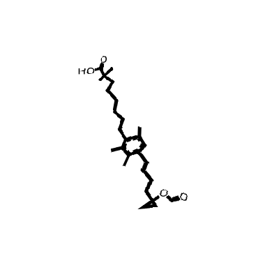 Cc1cc(CCCCC2(OC=O)CC2)c(C)c(C)c1CCCCCCC(C)(C)C(=O)O